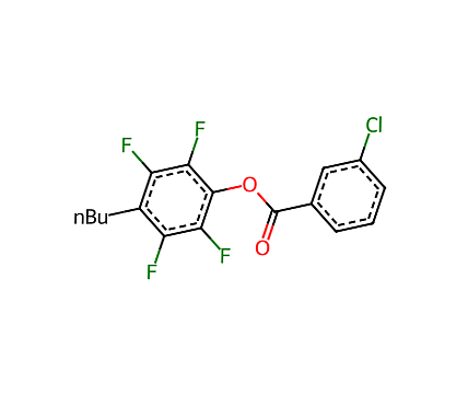 CCCCc1c(F)c(F)c(OC(=O)c2cccc(Cl)c2)c(F)c1F